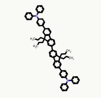 CCCC1(CCC)C2=C(C=CC(C3=CCC(N(c4ccccc4)c4ccccc4)C=C3)C2)c2ccc(-c3ccc4c(c3)C(CCC)(CCC)c3cc(-c5ccc(N(c6ccccc6)c6ccccc6)cc5)ccc3-4)cc21